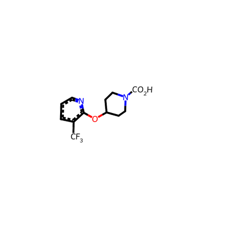 O=C(O)N1CCC(Oc2ncccc2C(F)(F)F)CC1